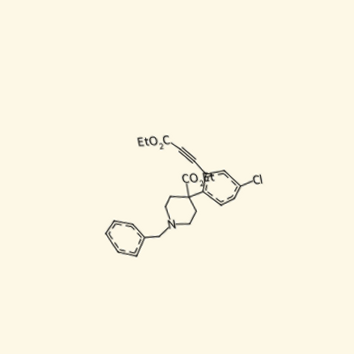 CCOC(=O)C#Cc1cc(Cl)ccc1C1(C(=O)OCC)CCN(Cc2ccccc2)CC1